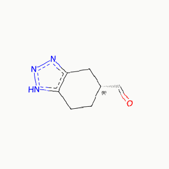 O=C[C@@H]1CCc2[nH]nnc2C1